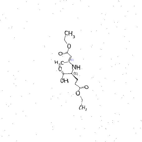 CCOC(=O)/C=C(\C)N[C@@H](CCC(=O)OCC)C(=O)O